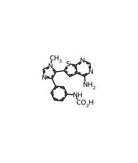 Cn1cnc(-c2cccc(NC(=O)O)c2)c1-c1cc2c(N)ncnc2s1